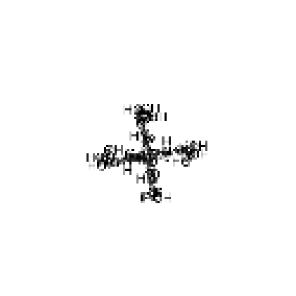 CC1[C@H](OCCCNC(=O)CCOCC(COCCC(=O)NCCCO[C@@H]2OC(CO)[C@H](O)[C@H](O)C2C)(COCCC(=O)NCCCO[C@@H]2OC(CO)[C@H](O)[C@H](O)C2C)NC(=O)CCCC(=O)NCCCOP(=O)(O)C(C)C)OC(CO)[C@H](O)[C@@H]1O